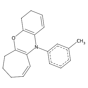 Cc1cccc(N2C3=C(CCC=C3)OC3=C2C=CCCC3)c1